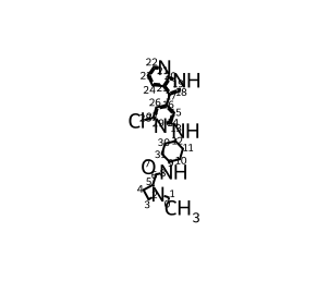 CCN1CCC1C(=O)N[C@H]1CC[C@H](Nc2cc(-c3c[nH]c4ncccc34)cc(Cl)n2)CC1